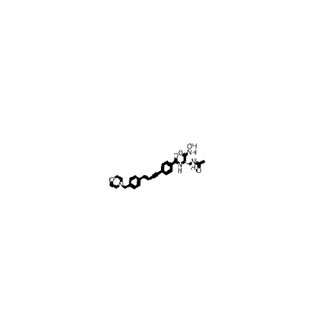 CC(=O)NC[C@H](NC(=O)c1ccc(C#CC=Cc2ccc(CN3CCOCC3)cc2)cc1)C(=O)NO